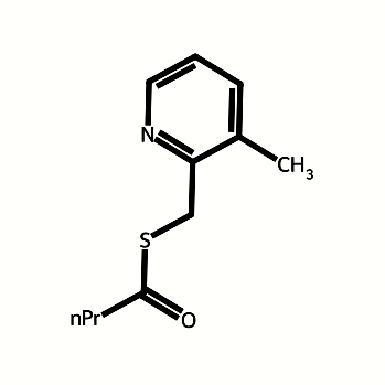 CCCC(=O)SCc1ncccc1C